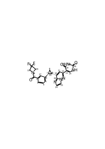 O=C(c1cccc([C@H]2C[C@@H]2c2cc(-c3c[nH]c(=O)[nH]c3=O)nn3ccnc23)c1)N1CC(F)(F)C1